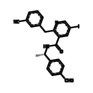 C[C@H](NC(=O)c1cc(I)cnc1Cc1cccc(C#N)c1)c1ccc(C=O)cc1